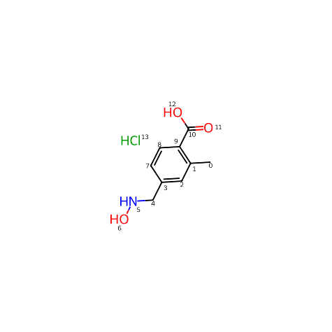 Cc1cc(CNO)ccc1C(=O)O.Cl